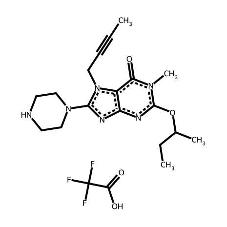 CC#CCn1c(N2CCNCC2)nc2nc(OC(C)CC)n(C)c(=O)c21.O=C(O)C(F)(F)F